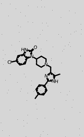 Cc1ccc(-c2nc(CN3CCC(n4c(=O)[nH]c5cc(Cl)ccc54)CC3)c(C)[nH]2)cc1